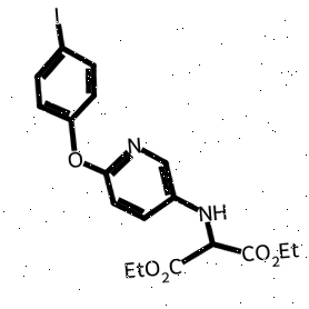 CCOC(=O)C(Nc1ccc(Oc2ccc(I)cc2)nc1)C(=O)OCC